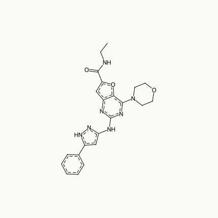 CCNC(=O)c1cc2nc(Nc3cc(-c4ccccc4)[nH]n3)nc(N3CCOCC3)c2o1